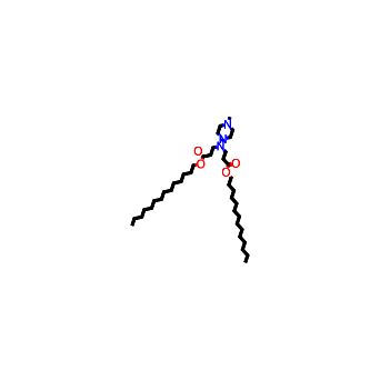 CCCCCCCCCCCCCCOC(=O)CCN(CCC(=O)OCCCCCCCCCCCCCC)N1CCN(C)CC1